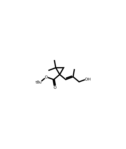 C/C(=C\C1(C(=O)OC(C)(C)C)CC1(C)C)CO